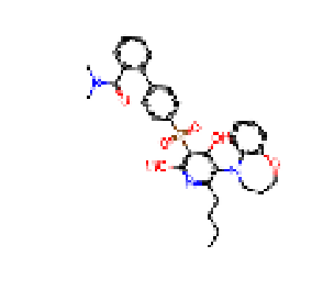 CCCCc1nc(O)c(S(=O)(=O)c2ccc(-c3ccccc3C(=O)N(C)C)cc2)c(O)c1N1CCCOc2ccccc21